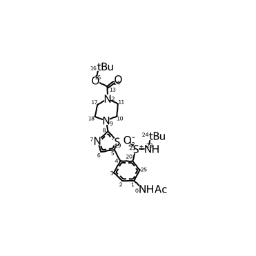 CC(=O)Nc1ccc(-c2cnc(N3CCN(C(=O)OC(C)(C)C)CC3)s2)c([S+]([O-])NC(C)(C)C)c1